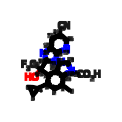 Cc1cc(C2CC2)c(C(O)(c2nc3cc(C#N)cnc3[nH]2)C(F)(F)F)c2ccn(C(=O)O)c12